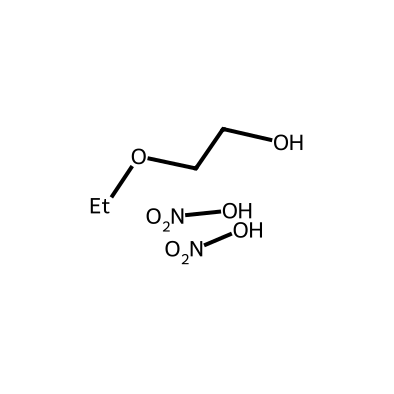 CCOCCO.O=[N+]([O-])O.O=[N+]([O-])O